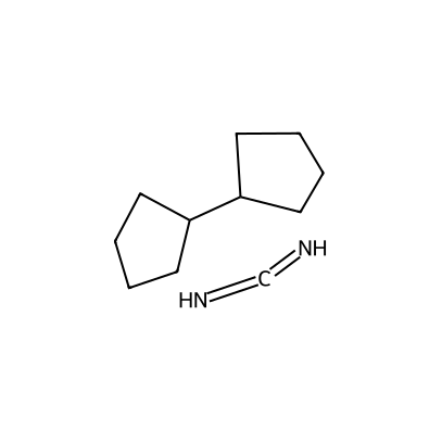 C1CCC(C2CCCC2)C1.N=C=N